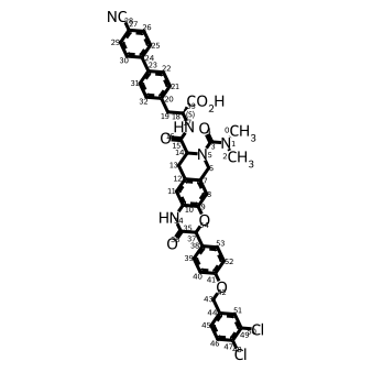 CN(C)C(=O)N1Cc2cc3c(cc2CC1C(=O)N[C@@H](Cc1ccc(-c2ccc(C#N)cc2)cc1)C(=O)O)NC(=O)C(c1ccc(OCc2ccc(Cl)c(Cl)c2)cc1)O3